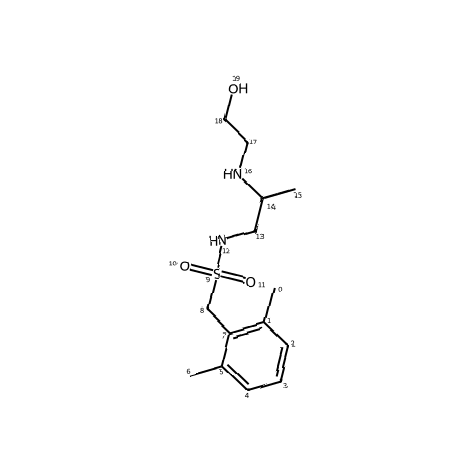 Cc1cccc(C)c1CS(=O)(=O)NCC(C)NCCO